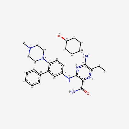 CCc1nc(C(N)=O)c(Nc2ccc(N3CCN(C)CC3)c(-c3ccccc3)c2)nc1N[C@H]1CC[C@H](O)CC1